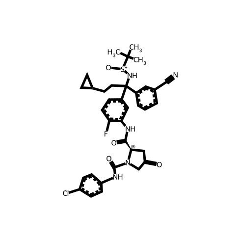 CC(C)(C)[S+]([O-])NC(CCC1CC1)(c1cccc(C#N)c1)c1ccc(F)c(NC(=O)[C@H]2CC(=O)CN2C(=O)Nc2ccc(Cl)cc2)c1